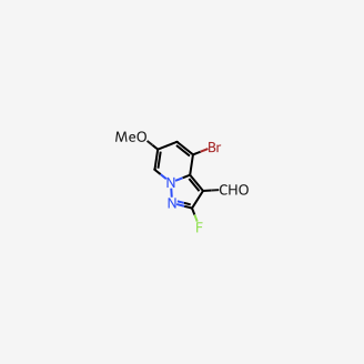 COc1cc(Br)c2c(C=O)c(F)nn2c1